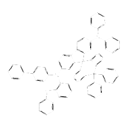 c1ccc(-c2ccc(N(c3ccc4c(c3)C3(c5cc(N(c6ccccc6)c6ccccc6)ccc5-4)c4ccccc4C(c4ccccc4)(c4ccccc4)c4ccccc43)c3cccc4c3oc3ccccc34)cc2)cc1